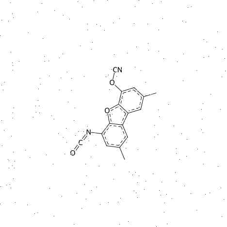 Cc1cc(N=C=O)c2oc3c(OC#N)cc(C)cc3c2c1